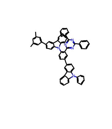 Cc1cc(C)cc(-c2ccc3c(c2)c2ccccc2n3-c2ccc(-c3ccc4c(c3)c3ccccc3n4-c3ccccc3)cc2-c2nc(-c3ccccc3)nc(-c3ccccc3)n2)c1